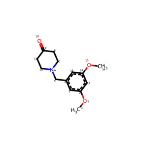 COc1cc(CN2CCC(=O)CC2)cc(OC)c1